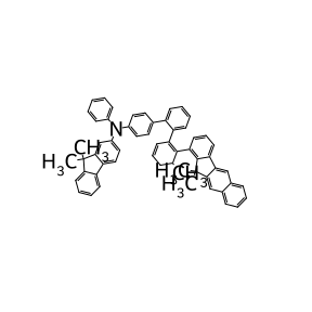 CC1CC=CC(c2ccccc2-c2ccc(N(c3ccccc3)c3ccc4c(c3)C(C)(C)c3ccccc3-4)cc2)=C1c1cccc2c1C(C)(C)c1cc3ccccc3cc1-2